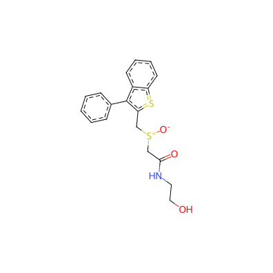 O=C(C[S+]([O-])Cc1sc2ccccc2c1-c1ccccc1)NCCO